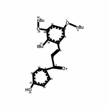 CCCCOc1cc(C=CC(=O)c2ccc(O)cc2)c(C(C)(C)C)c(OCCCC)c1